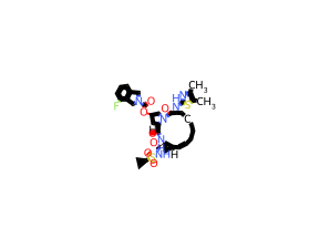 Cc1nc(N[C@H]2CCCCC/C=C\[C@@H]3C[C@@]3(C(=O)NS(=O)(=O)C3CC3)NC(=O)[C@@H]3C[C@@H](OC(=O)N4Cc5cccc(F)c5C4)CN3C2=O)sc1C